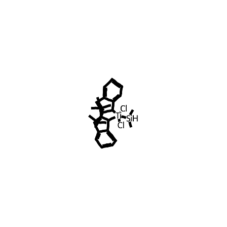 C[SiH](C)[Ti]([Cl])([Cl])([CH]1C(C(C)(C)C)=Cc2ccccc21)[CH]1C(C(C)(C)C)=Cc2ccccc21